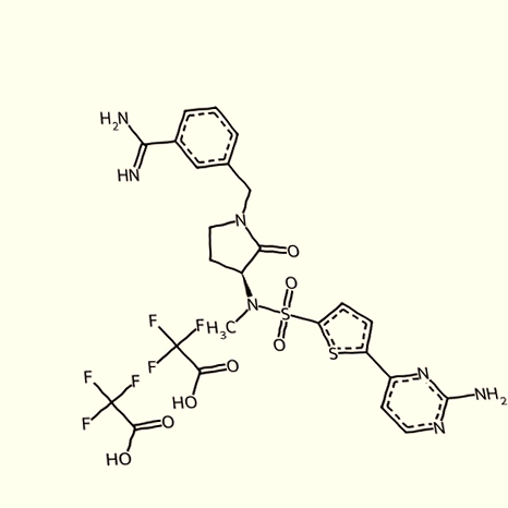 CN([C@H]1CCN(Cc2cccc(C(=N)N)c2)C1=O)S(=O)(=O)c1ccc(-c2ccnc(N)n2)s1.O=C(O)C(F)(F)F.O=C(O)C(F)(F)F